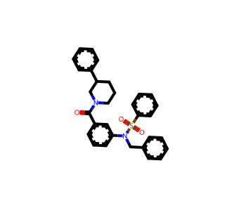 O=C(c1cccc(N(Cc2ccccc2)S(=O)(=O)c2ccccc2)c1)N1CCCC(c2ccccc2)C1